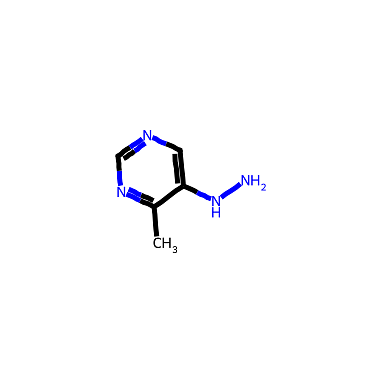 Cc1ncncc1NN